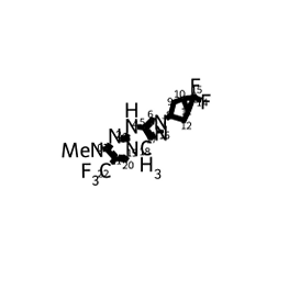 CNc1nc(Nc2cn(C3CC4C(C3)C4(F)F)nc2C)ncc1C(F)(F)F